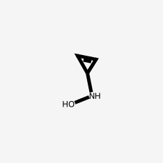 ONC1C=C1